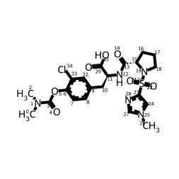 CN(C)C(=O)Oc1ccc(C[C@H](NC(=O)[C@@H]2CCCN2S(=O)(=O)c2cn(C)cn2)C(=O)O)cc1Cl